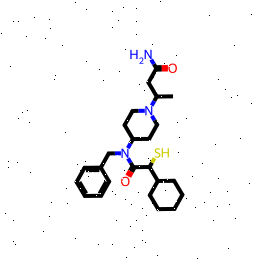 CC(CC(N)=O)N1CCC(N(Cc2ccccc2)C(=O)C(S)C2CCCCC2)CC1